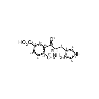 N[C@@H](Cc1c[nH]cn1)C(=O)c1cc(C(=O)O)ccc1[O]